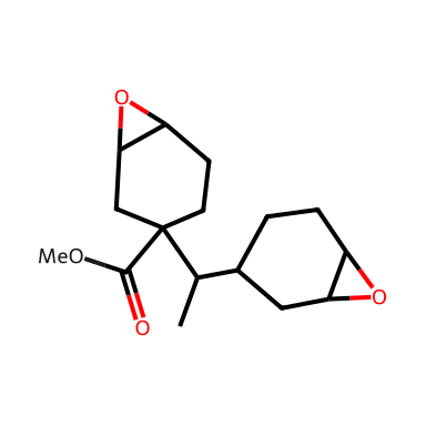 COC(=O)C1(C(C)C2CCC3OC3C2)CCC2OC2C1